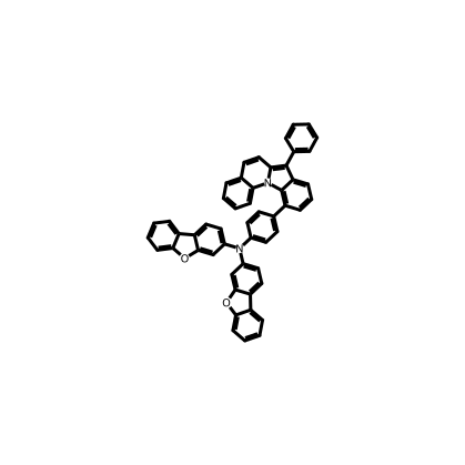 c1ccc(-c2c3cccc(-c4ccc(N(c5ccc6c(c5)oc5ccccc56)c5ccc6c(c5)oc5ccccc56)cc4)c3n3c2ccc2ccccc23)cc1